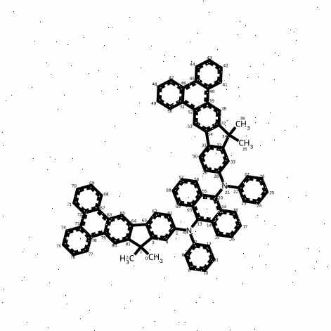 CC1(C)c2cc(N(c3ccccc3)c3c4ccccc4c(N(c4ccccc4)c4ccc5c(c4)C(C)(C)c4cc6c7ccccc7c7ccccc7c6cc4-5)c4ccccc34)ccc2-c2cc3c4ccccc4c4ccccc4c3cc21